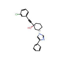 O[C@@]1(C#Cc2cccc(Cl)c2)CCC[C@H](n2cnc(-c3ccccc3)c2)C1